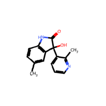 Cc1ccc2c(c1)C(O)(c1cccnc1C)C(=O)N2